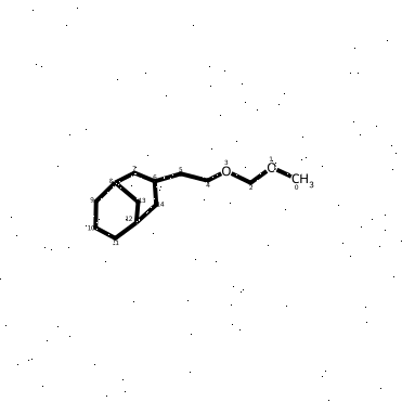 COCOCCC1CC2CCCC(C2)C1